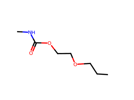 CCCOCCOC(=O)NC